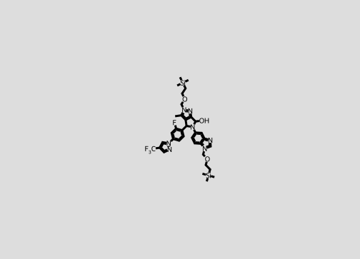 Cc1c2c(nn1COCC[Si](C)(C)C)C(O)N(c1ccc3c(c1)ncn3COCC[Si](C)(C)C)C2c1ccc(-n2cc(C(F)(F)F)cn2)cc1F